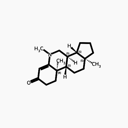 CN1C[C@H]2[C@@H]3CCC[C@@]3(C)CC[C@@H]2[C@@]2(C)CCC(=O)C=C12